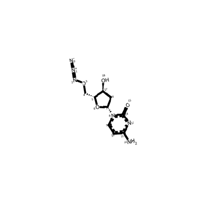 [N-]=[N+]=NOC[C@H]1O[C@@H](n2ccc(N)nc2=O)C[C@@H]1O